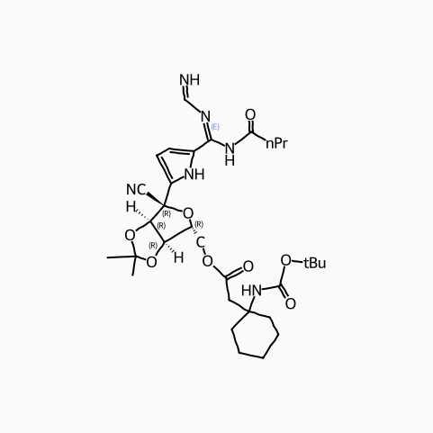 CCCC(=O)N/C(=N/C=N)c1ccc([C@]2(C#N)O[C@H](COC(=O)CC3(NC(=O)OC(C)(C)C)CCCCC3)[C@H]3OC(C)(C)O[C@H]32)[nH]1